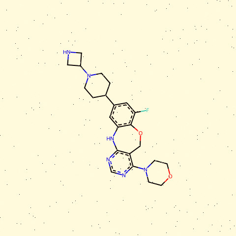 Fc1cc(C2CCN(C3CNC3)CC2)cc2c1OCc1c(ncnc1N1CCOCC1)N2